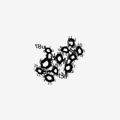 CC(C)(C)c1ccc2c(c1)c1ccc([Si](c3ccccc3)(c3ccccc3)c3ccccc3)cc1n2-c1ccc(-n2c3cc(C(C)(C)C)ccc3c3ccc([Si](c4ccccc4)(c4ccccc4)c4ccccc4)cc32)cc1